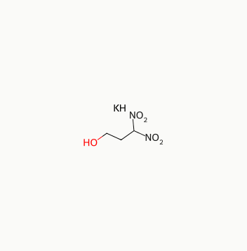 O=[N+]([O-])C(CCO)[N+](=O)[O-].[KH]